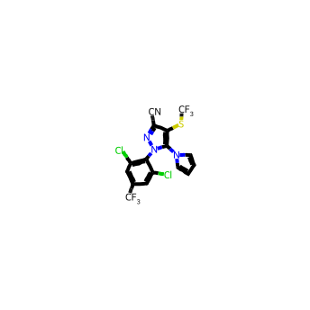 N#Cc1nn(-c2c(Cl)cc(C(F)(F)F)cc2Cl)c(-n2cccc2)c1SC(F)(F)F